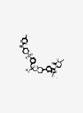 Cn1nc(N2CCC(=O)NC2=O)c2ccc(C3CCN(CC(C)(C)Cc4cccc(S(=O)(=O)N5CCC(Nc6ncc(Cl)cn6)CC5)c4)CC3)cc21